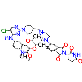 CC(=O)[C@H](C)Oc1cc2cc(Nc3nc(N4CCC(CN5CCN(c6ccc7c(c6)C(=O)N([C@H]6CCC(=O)NC6=O)C7=O)CC5)CC4)ncc3Cl)ccc2n(C)c1=O